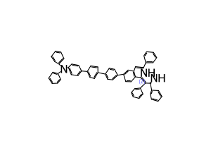 N=C(/C(=C1\NC(c2ccccc2)=Cc2cc(-c3ccc(-c4ccc(-c5ccc(N(c6ccccc6)c6ccccc6)cc5)cc4)cc3)ccc21)c1ccccc1)c1ccccc1